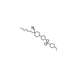 CCCCCCCC1(C#N)CCC(C2CCC(OC(=O)C3CCC(CC)CC3)CC2)CC1